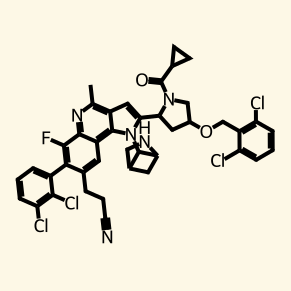 Cc1nc2c(F)c(-c3cccc(Cl)c3Cl)c(CCC#N)cc2c2c1cc(C1CC(OCc3c(Cl)cccc3Cl)CN1C(=O)C1CC1)n2C1C2CNC1C2